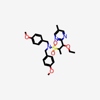 CCOC(c1ncc(C)cn1)C(C)S(=O)(=O)N(Cc1ccc(OC)cc1)Cc1ccc(OC)cc1